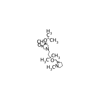 CO[C@@H]1CN(CCC(C)(C)OC[C@H]2CCCN2C)C[C@H]1OC(C)C